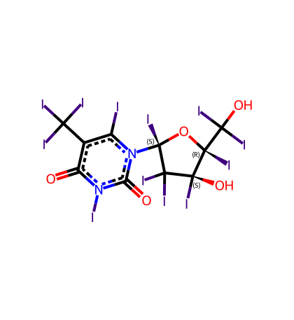 O=c1c(C(I)(I)I)c(I)n([C@]2(I)O[C@](I)(C(O)(I)I)[C@](O)(I)C2(I)I)c(=O)n1I